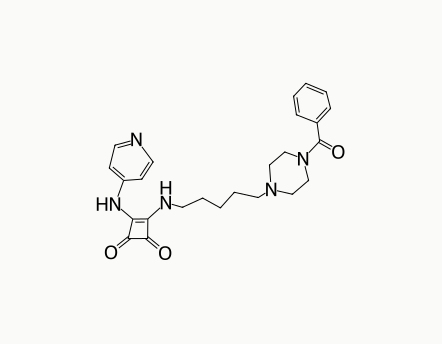 O=C(c1ccccc1)N1CCN(CCCCCNc2c(Nc3ccncc3)c(=O)c2=O)CC1